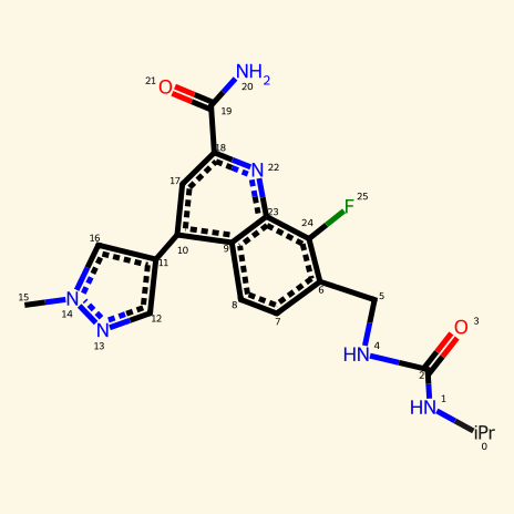 CC(C)NC(=O)NCc1ccc2c(-c3cnn(C)c3)cc(C(N)=O)nc2c1F